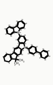 CC1(C)C2=C(C=CCC2)c2cc3c4cc(-n5c6ccccc6c6ccccc65)ccc4n(-c4ccc(-c5ccccc5)cc4)c3cc21